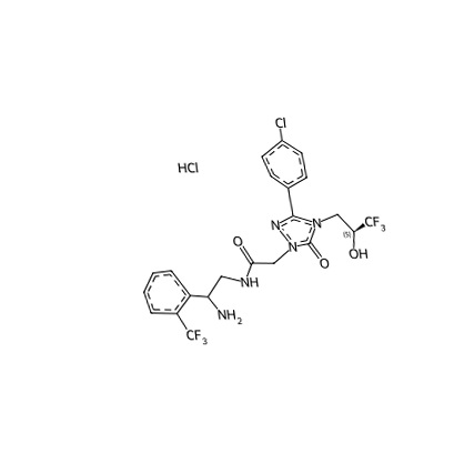 Cl.NC(CNC(=O)Cn1nc(-c2ccc(Cl)cc2)n(C[C@H](O)C(F)(F)F)c1=O)c1ccccc1C(F)(F)F